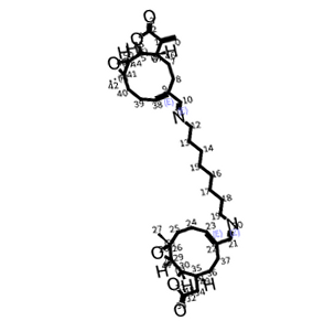 C=C1C(=O)O[C@H]2[C@H]1CCC(/C=N/CCCCCCCC/N=C\C1=C\CC[C@@]3(C)O[C@H]3[C@H]3OC(=O)C[C@@H]3CC1)=C\CC[C@@]1(C)O[C@@H]21